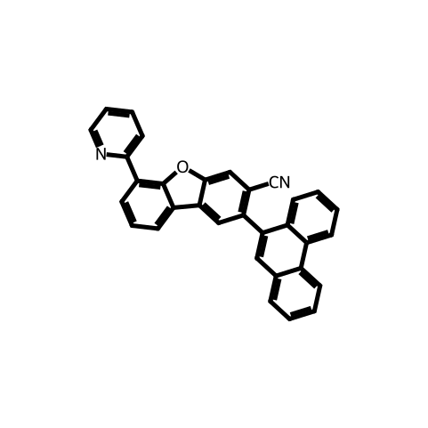 N#Cc1cc2oc3c(-c4ccccn4)cccc3c2cc1-c1cc2ccccc2c2ccccc12